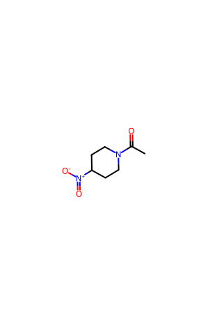 CC(=O)N1CCC([N+](=O)[O-])CC1